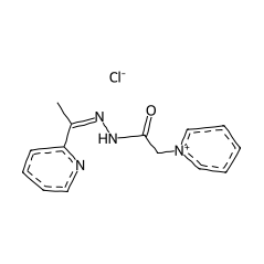 C/C(=N/NC(=O)C[n+]1ccccc1)c1ccccn1.[Cl-]